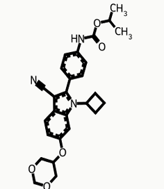 CC(C)OC(=O)Nc1ccc(-c2c(C#N)c3ccc(OC4COCOC4)cc3n2C2CCC2)cc1